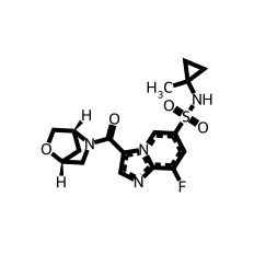 CC1(NS(=O)(=O)c2cc(F)c3ncc(C(=O)N4C[C@H]5C[C@@H]4CO5)n3c2)CC1